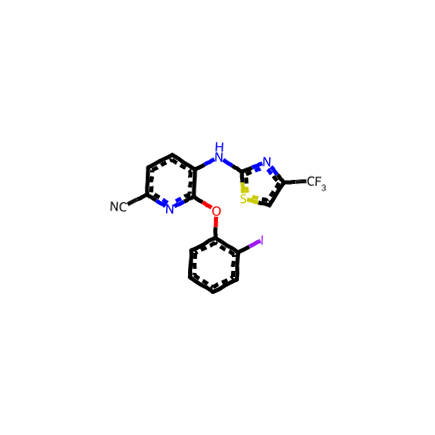 N#Cc1ccc(Nc2nc(C(F)(F)F)cs2)c(Oc2ccccc2I)n1